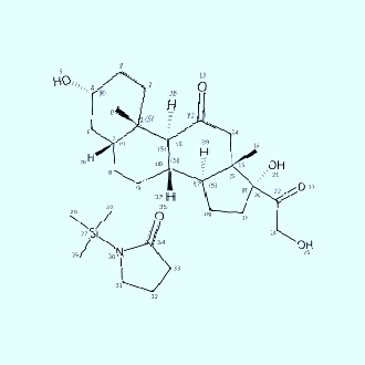 C[C@]12CC[C@@H](O)C[C@H]1CC[C@@H]1[C@@H]2C(=O)C[C@@]2(C)[C@H]1CC[C@]2(O)C(=O)CO.C[Si](C)(C)N1CCCC1=O